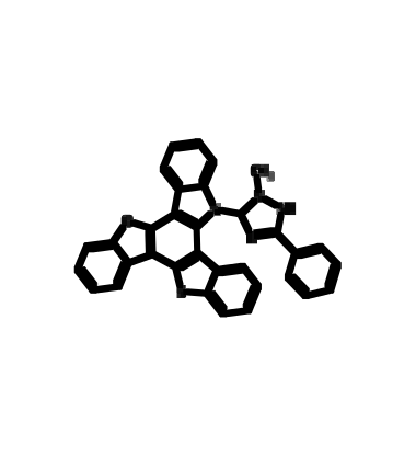 CN1NC(c2ccccc2)=NC1n1c2ccccc2c2c3oc4ccccc4c3c3sc4ccccc4c3c21